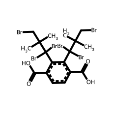 CC(C)(CBr)C(Br)(Br)c1c(C(=O)O)ccc(C(=O)O)c1C(Br)(Br)C(C)(C)CBr